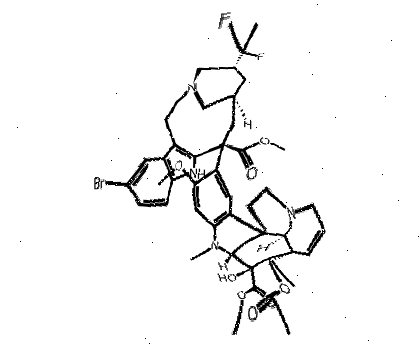 CC[C@]12C=CCN3CC[C@@]4(c5cc([C@@]6(C(=O)OC)C[C@@H]7C[C@@H](C(C)(F)F)C[N@](CCc8c6[nH]c6ccc(Br)cc86)C7)c(OC)cc5N(C)[C@H]4[C@@](O)(C(=O)OC)[C@@H]1OC(C)=O)[C@@H]32